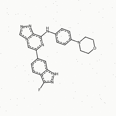 Fc1n[nH]c2cc(-c3cn4cnnc4c(Nc4ccc(N5CCOCC5)cc4)n3)ccc12